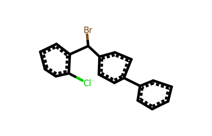 Clc1ccccc1C(Br)c1ccc(-c2ccccc2)cc1